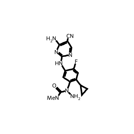 CNC(=O)N(N)c1cc(Nc2ncc(C#N)c(N)n2)c(F)cc1C1CC1